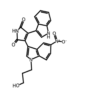 O=C1NC(=O)C(c2cn(CCCO)c3ccc([N+](=O)[O-])cc23)=C1c1c[nH]c2ccccc12